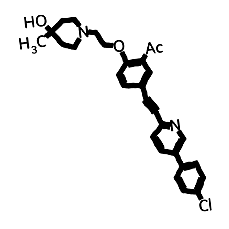 CC(=O)c1cc(C#Cc2ccc(-c3ccc(Cl)cc3)cn2)ccc1OCCN1CCC(C)(O)CC1